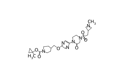 CN1CC(CS(=O)(=O)N2CCN(c3cnc(OCC4CCN(C(=O)OC5(C)CC5)CC4)cn3)C(=O)C2)C1